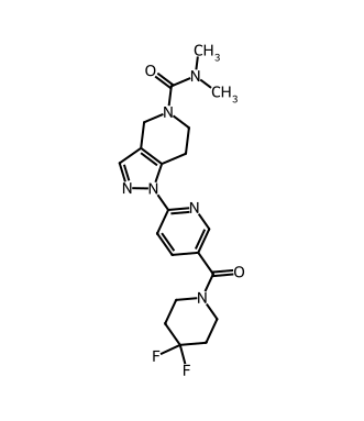 CN(C)C(=O)N1CCc2c(cnn2-c2ccc(C(=O)N3CCC(F)(F)CC3)cn2)C1